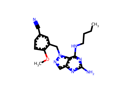 CCCCNc1nc(N)nc2cnn(Cc3cc(C#N)ccc3OC)c12